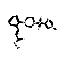 Cn1cnc(S(=O)(=O)N2CCN(c3ccccc3/C=C/C(=O)NO)CC2)c1